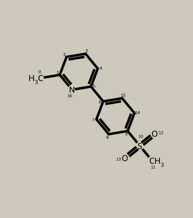 Cc1cccc(-c2ccc(S(C)(=O)=O)cc2)n1